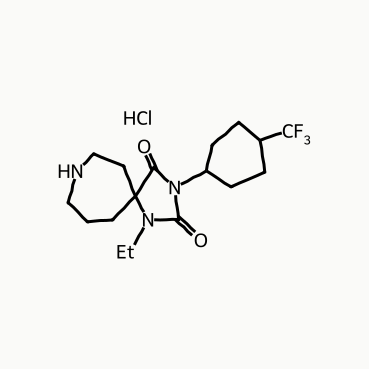 CCN1C(=O)N(C2CCC(C(F)(F)F)CC2)C(=O)C12CCCNCC2.Cl